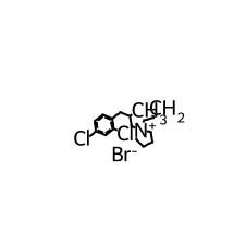 C=CC[N+]1(CC(C)Cc2ccc(Cl)cc2Cl)CCCC1.[Br-]